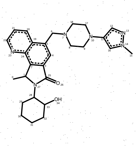 CC1c2c(cc(CN3CCN(c4cnn(C)c4)CC3)c3cccnc23)C(=O)N1C1CCCCC1O